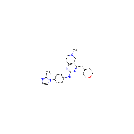 Cc1nccn1-c1ccc(Nc2nc3c(c(CC4CCOCC4)n2)CN(C)CC3)cc1